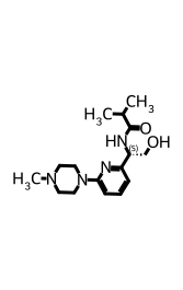 CC(C)C(=O)N[C@H](CO)c1cccc(N2CCN(C)CC2)n1